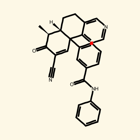 C[C@@H]1C(=O)C(C#N)=CC2(c3cccc(C(=O)Nc4ccccc4)c3)c3ncncc3CC[C@@H]12